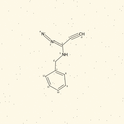 C#CC(=[N+]=[N-])NCc1ccccc1